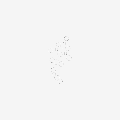 c1ccc(N2c3cccc4c3B3c5c2cccc5N(c2ccccc2)c2cc(-c5c6ccccc6c(-c6ccc7oc8cc9ccccc9cc8c7c6)c6ccccc56)cc(c23)N4c2ccccc2)cc1